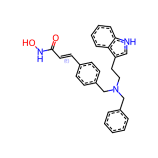 O=C(/C=C/c1ccc(CN(CCc2c[nH]c3ccccc23)Cc2ccccc2)cc1)NO